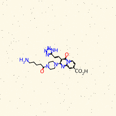 NCCCCC(=O)N1CCN(c2nc3cc(C(=O)O)ccn3c(=O)c2/C=C/c2nnn[nH]2)CC1